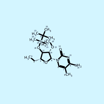 CC[C@H]1O[C@@H](n2cc(C)c(N)nc2=O)[C@@H](OC)C1O[Si](C)(C)C(C)(C)C